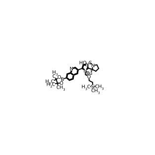 CC1(C)OB(c2ccc3cc(-c4cnc([C@@]5(C(C)(C)C)CCCN5C(=O)O)n4COCC[Si](C)(C)C)cnc3c2)OC1(C)C